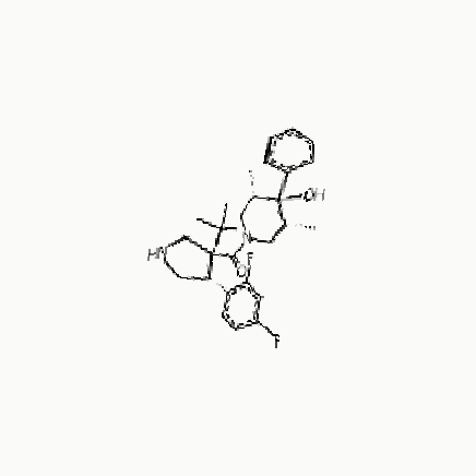 C[C@@H]1CN(C(=O)[C@@]2(C(C)(C)C)CNC[C@H]2c2ccc(F)cc2F)C[C@H](C)[C@]1(O)c1ccccc1